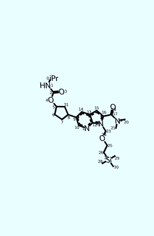 CC(C)NC(=O)OC1CCC(c2cnc3c(c2)cc(C(=O)N(C)C)n3COCC[Si](C)(C)C)C1